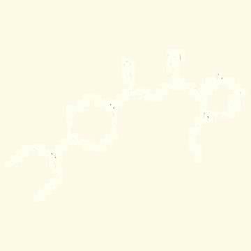 CCN(CC)C1CCN(C(=O)C[C@H](O)c2nccn2CC)CC1